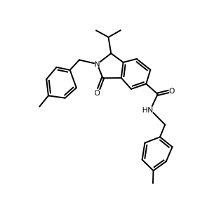 Cc1ccc(CNC(=O)c2ccc3c(c2)C(=O)N(Cc2ccc(C)cc2)C3C(C)C)cc1